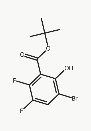 CC(C)(C)OC(=O)c1c(O)c(Br)cc(F)c1F